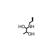 C=CCNC(O)C(C)O